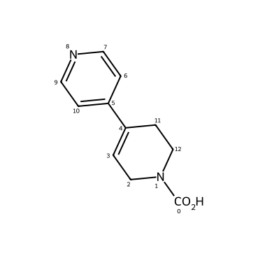 O=C(O)N1CC=C(c2ccncc2)CC1